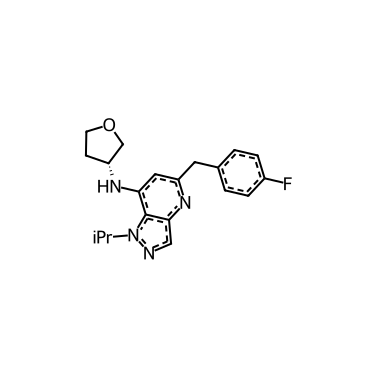 CC(C)n1ncc2nc(Cc3ccc(F)cc3)cc(N[C@@H]3CCOC3)c21